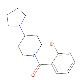 O=C(c1ccccc1Br)N1CCC(N2CCCC2)CC1